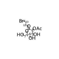 CC(=O)O[C@H]1C(O)[C@H](O)C(CO)O[C@H]1OCCBr